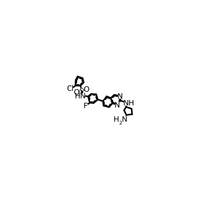 N[C@H]1CCC(Nc2ncc3cc(-c4ccc(NS(=O)(=O)c5ccccc5Cl)c(F)c4)ccc3n2)C1